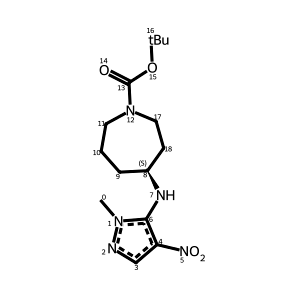 Cn1ncc([N+](=O)[O-])c1N[C@H]1CCCN(C(=O)OC(C)(C)C)CC1